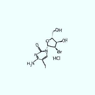 Cl.Nc1nc(=O)n([C@@H]2O[C@H](CO)[C@@H](O)[C@H]2Br)cc1I